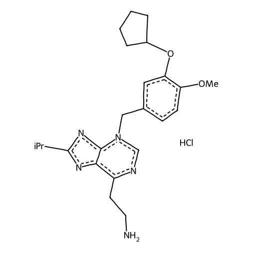 COc1ccc(Cn2cnc(CCN)c3nc(C(C)C)nc2-3)cc1OC1CCCC1.Cl